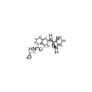 COCCNC(=O)c1cccc2cc(Nc3n[nH]c4cccnc34)ccc12